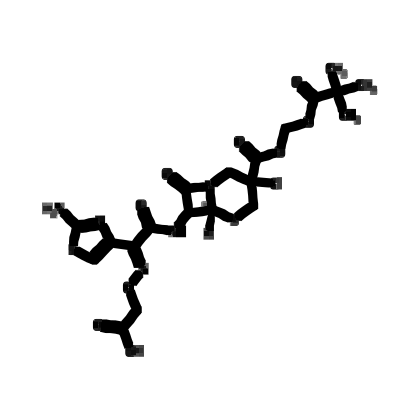 CC(C)(C)C(=O)OCOC(=O)C1(Cl)CS[C@@H]2C(NC(=O)C(=NOCC(=O)O)c3csc(N)n3)C(=O)N2C1